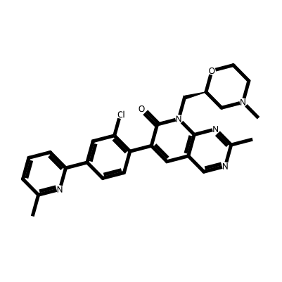 Cc1cccc(-c2ccc(-c3cc4cnc(C)nc4n(C[C@@H]4CN(C)CCO4)c3=O)c(Cl)c2)n1